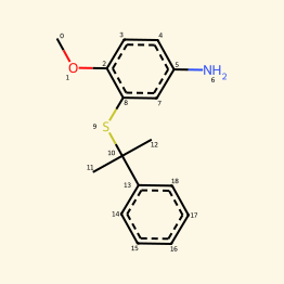 COc1ccc(N)cc1SC(C)(C)c1ccccc1